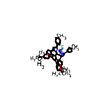 Cc1ccc(C2=CC(c3ccc(C)cc3)=[N+]3B(F)n4c(-c5ccc(C)cc5)cc(-c5ccc(C)cc5)c4C(c4cc(-c5ccc(C(C)(C)C)cc5)cc(-c5ccc(C(C)(C)C)cc5)c4)=C23)cc1